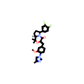 COc1cc(C=C2OC(C)(C)[C@H]3CCC(c4ccc(F)c(F)c4)N3C2=O)ccc1-n1cnc(C)c1